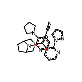 N#Cc1ccnc(N2C3CCC2CN(C(=O)c2cccnc2-n2cccn2)C3)c1N1CCCC1